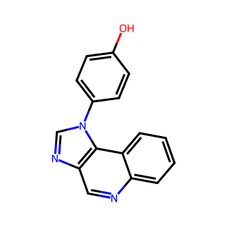 Oc1ccc(-n2cnc3cnc4ccccc4c32)cc1